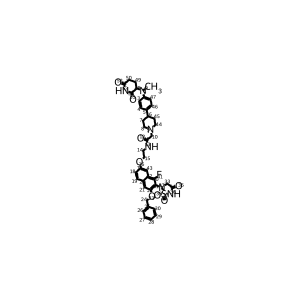 CN(c1ccc(C2CCN(CC(=O)NCCOc3ccc4cc(OCc5ccccc5)c(N5CC(=O)NS5(=O)=O)c(F)c4c3)CC2)cc1)C1CCC(=O)NC1=O